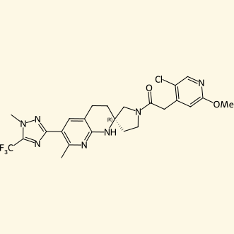 COc1cc(CC(=O)N2CC[C@]3(CCc4cc(-c5nc(C(F)(F)F)n(C)n5)c(C)nc4N3)C2)c(Cl)cn1